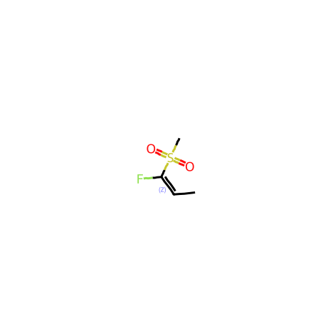 C/C=C(/F)S(C)(=O)=O